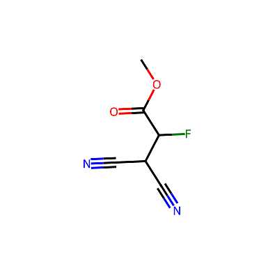 COC(=O)C(F)C(C#N)C#N